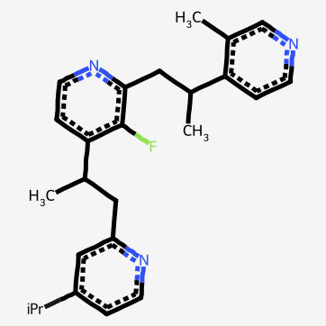 Cc1cnccc1C(C)Cc1nccc(C(C)Cc2cc(C(C)C)ccn2)c1F